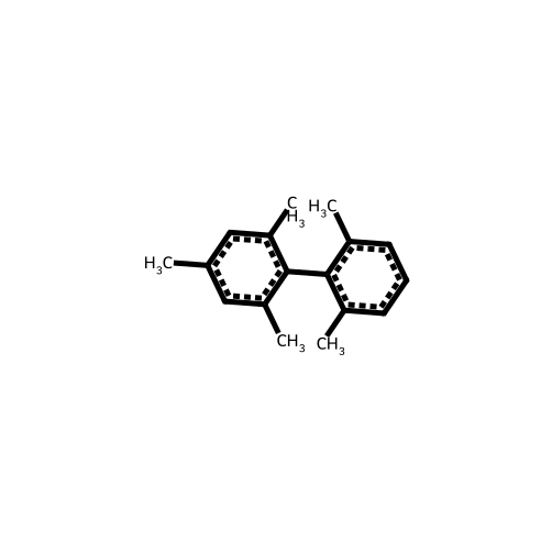 Cc1cc(C)c(-c2c(C)cccc2C)c(C)c1